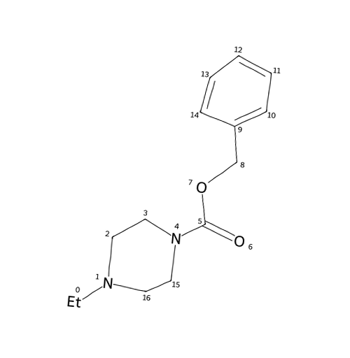 CCN1CCN(C(=O)OCc2ccccc2)CC1